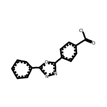 O=C(Cl)c1ccc(-c2nnc(-c3ccccc3)o2)cc1